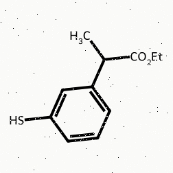 CCOC(=O)C(C)c1cccc(S)c1